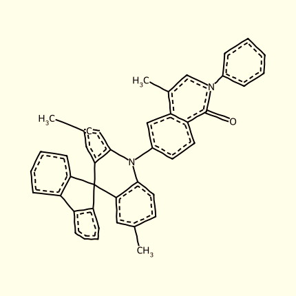 Cc1ccc2c(c1)C1(c3ccccc3-c3ccccc31)c1cc(C)ccc1N2c1ccc2c(=O)n(-c3ccccc3)cc(C)c2c1